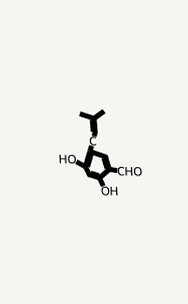 CC(C)=CCc1cc(C=O)c(O)cc1O